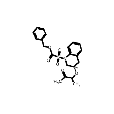 CC(=O)C(C)O[C@@H]1Cc2ccccc2N(S(=O)(=O)C(=O)OCc2ccccc2)C1